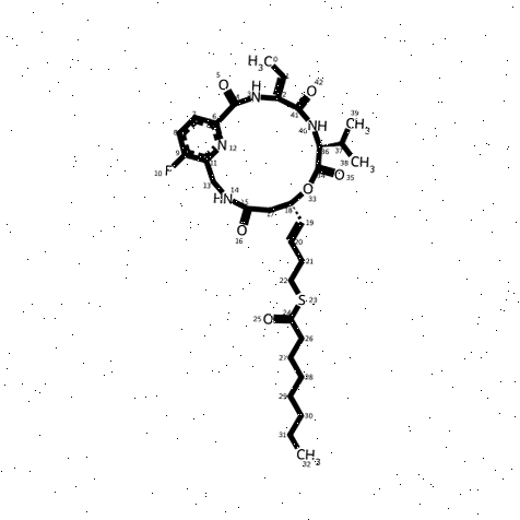 C/C=C1\NC(=O)c2ccc(F)c(n2)CNC(=O)C[C@@H](/C=C/CCSC(=O)CCCCCCC)OC(=O)[C@H](C(C)C)NC1=O